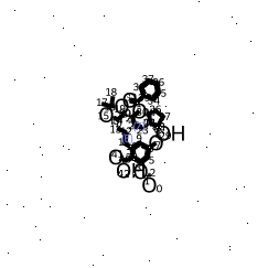 COCOc1cc(OC)cc(/C=C/C[C@@H]2OC(C)(C)O[C@@H]2C(/C=C\[C@H]2CCC[C@@H]2O)OC(=O)c2ccccc2)c1C(=O)O